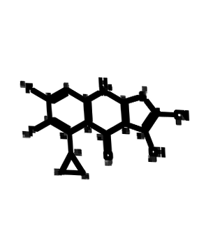 N#Cc1sc2[nH]c3cc(F)c(F)c(C4CC4)c3c(=O)c2c1O